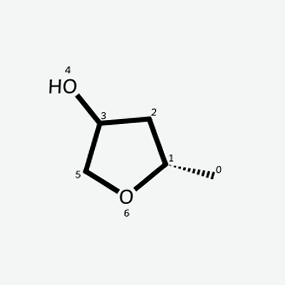 C[C@H]1CC(O)CO1